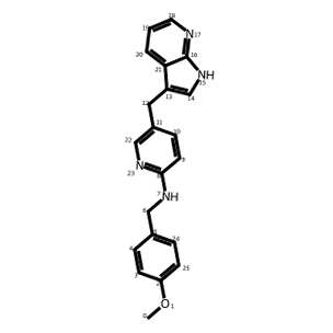 COc1ccc(CNc2ccc(Cc3c[nH]c4ncccc34)cn2)cc1